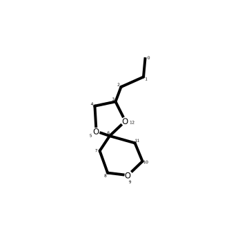 CCCC1COC2(CCOCC2)O1